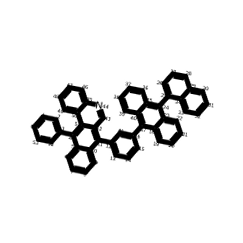 c1ccc(-c2c3ccccc3c(-c3cccc(-c4c5ccccc5c(-c5cccc6ccccc56)c5ccccc45)c3)c3cnc4ccccc4c23)cc1